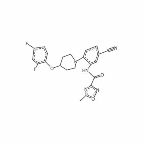 Cc1nc(C(=O)Nc2cc(C#N)ccc2N2CCC(Oc3ccc(F)cc3F)CC2)no1